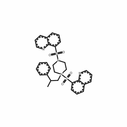 CC(C[N+]1(S(=O)(=O)c2cccc3cccnc23)CCN(S(=O)(=O)c2cccc3cccnc23)CC1)c1ccccc1